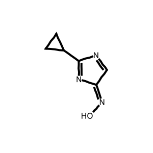 ON=C1C=NC(C2CC2)=N1